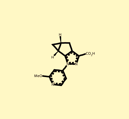 COc1cc(-n2nc(C(=O)O)c3c2[C@@H]2C[C@@H]2C3)ccn1